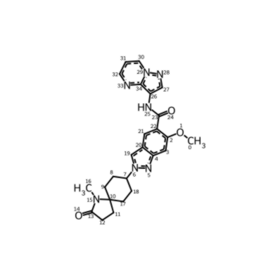 COc1cc2nn(C3CCC4(CCC(=O)N4C)CC3)cc2cc1C(=O)Nc1cnn2cccnc12